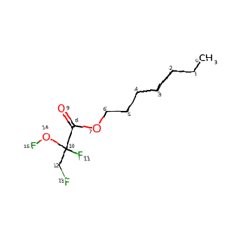 CCCCCCCOC(=O)C(F)(CF)OF